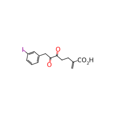 C=C(CCC(=O)C(=O)Cc1cccc(I)c1)C(=O)O